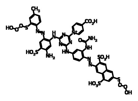 Cc1ccc(N=Nc2cc(S(=O)(=O)O)c(N)cc2Nc2nc(Nc3ccc(N=Nc4cc5c(S(=O)(=O)O)cc(SOOO)cc5cc4S(=O)(=O)O)c(NC(N)=O)c3)nc(-[n+]3ccc(C(=O)O)cc3)n2)c(SOOO)c1